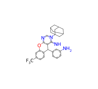 N=c1c2c(ncn1C13CC4CC(CC(C4)C1)C3)Oc1cc(C(F)(F)F)ccc1C2c1cccc(N)c1